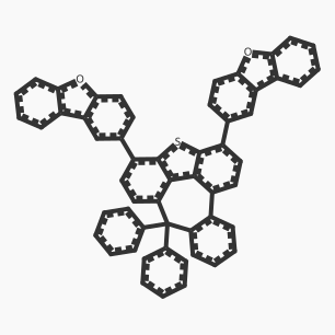 c1ccc(C2(c3ccccc3)c3ccccc3-c3ccc(-c4ccc5oc6ccccc6c5c4)c4sc5c(-c6ccc7oc8ccccc8c7c6)ccc2c5c34)cc1